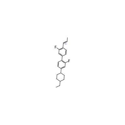 C/C=C/c1ccc(-c2ccc(C3CCC(CC)CC3)cc2F)cc1F